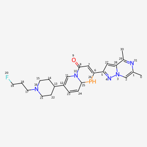 Cc1cn2nc(C3=CC(=O)N4C=C(C5CCN(CCCF)CC5)C=CC4P3)cc2c(C)n1